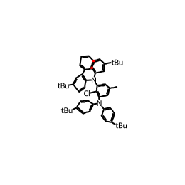 Cc1cc(N(c2ccc(C(C)(C)C)cc2)c2ccc(C(C)(C)C)cc2)c(Cl)c(N(c2cccc(C(C)(C)C)c2)c2ccc(C(C)(C)C)cc2-c2ccccc2)c1